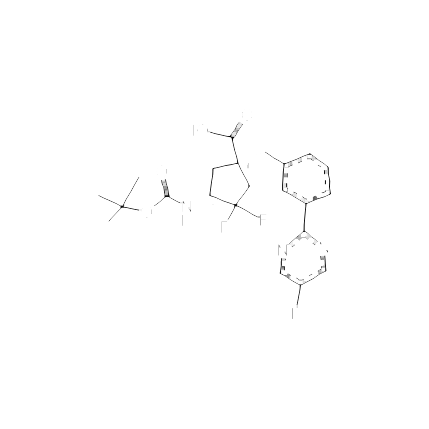 CC(C)(C)OC(=O)N[C@@H]1C[C@@](Cc2cccc(-c3ncc(F)cn3)c2)(C(=O)O)CC1(F)F